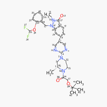 C[C@@H]1CN(c2ncc(-c3ccc4c(=O)n(C)n(Cc5ccccc5OC(F)F)c4c3)cn2)CCN1C(=O)COC(C)(C)C